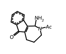 CC(=O)N1CCCC2=C(c3ccccc3C2=O)C1N